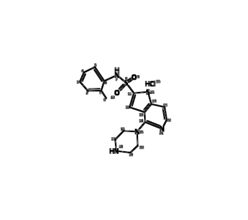 Cc1ccccc1NS(=O)(=O)c1cc2c(N3CCNCC3)nccc2s1.Cl